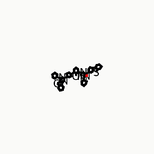 Oc1c(-c2ccc(-c3nc(-c4ccccc4)c4oc5ccccc5c4n3)cc2)cccc1-c1nc(-c2ccccc2)nc(-c2ccc3c(c2)sc2ccccc23)n1